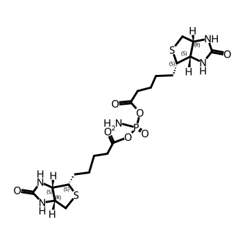 NP(=O)(OC(=O)CCCC[C@@H]1SC[C@@H]2NC(=O)N[C@@H]21)OC(=O)CCCC[C@@H]1SC[C@@H]2NC(=O)N[C@@H]21